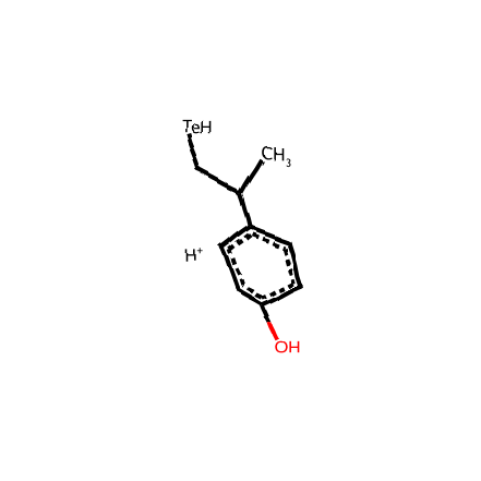 CC(C[TeH])c1ccc(O)cc1.[H+]